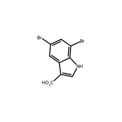 O=C(O)c1c[nH]c2c(Br)cc(Br)cc12